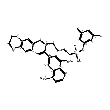 CC[N+](CC)(CCCCN(Cc1ccc2c(c1)OCCO2)C(=O)c1cc(OC)c2cccc(OC)c2n1)Cc1cc(C)cc(C)c1